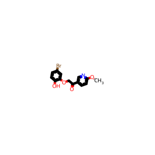 COc1ccc(C(=O)COc2cc(Br)ccc2O)cn1